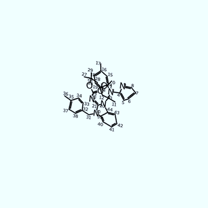 CC(=O)N(c1ccccn1)C(C)(Cc1ccc(C)cc1)n1c(=NC(=O)OC(C)(C)C)n(Cc2ccc(C)cc2)c2ccccc21